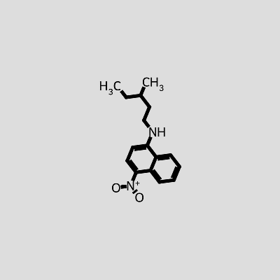 CCC(C)CCNc1ccc([N+](=O)[O-])c2ccccc12